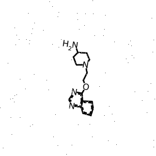 NC1CCN(CCOc2ncnc3ccccc23)CC1